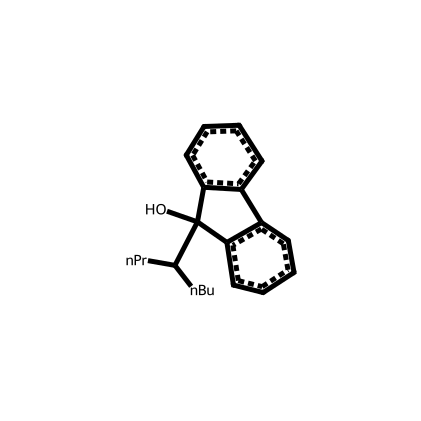 [CH2]CCC(CCCC)C1(O)c2ccccc2-c2ccccc21